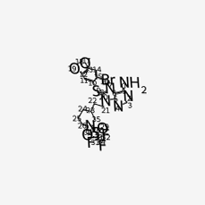 Nc1ncnc2c1nc(Sc1cc3c(cc1Br)OCO3)n2CCC1CCCN(S(=O)(=O)C(F)(F)F)C1